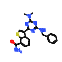 CN(C)c1nc(NCc2ccccc2)nc(C2=CSC3C(C(N)=O)=CC=CC23)n1